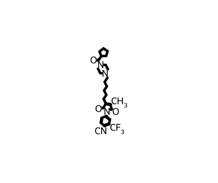 CC1=C(CCCCCCN2CCN(C(=O)C3CCCC3)CC2)C(=O)N(c2ccc(C#N)c(C(F)(F)F)c2)C1=O